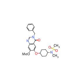 COc1cc2ncn(Cc3ccccc3)c(=O)c2cc1OC1CCC(N(C)S(C)(=O)=O)CC1